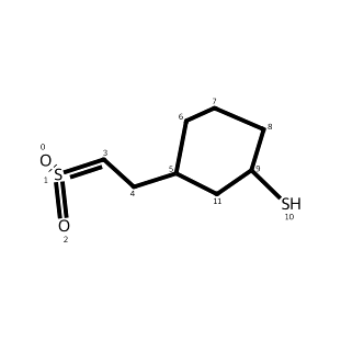 O=S(=O)=CCC1CCCC(S)C1